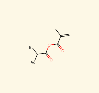 C=C(C)C(=O)OC(=O)C(CC)C(C)=O